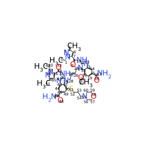 CCn1nc(C)cc1C(=O)Nc1nc2cc(C(N)=O)cc(OC)c2n1C/C=C/Cn1c(NC(=O)c2cc(C)nn2CC)nc2cc(C(N)=O)cc(SCCCN3CCOCC3)c21